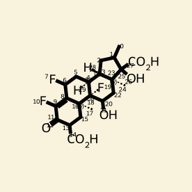 CC1C[C@H]2[C@@H]3CC(F)C4=C(F)C(=O)C(C(=O)O)C[C@]4(C)[C@]3(F)C(O)C[C@]2(C)C1(O)C(=O)O